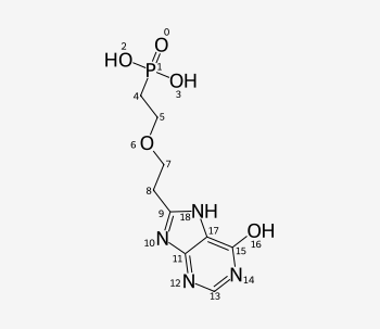 O=P(O)(O)CCOCCc1nc2ncnc(O)c2[nH]1